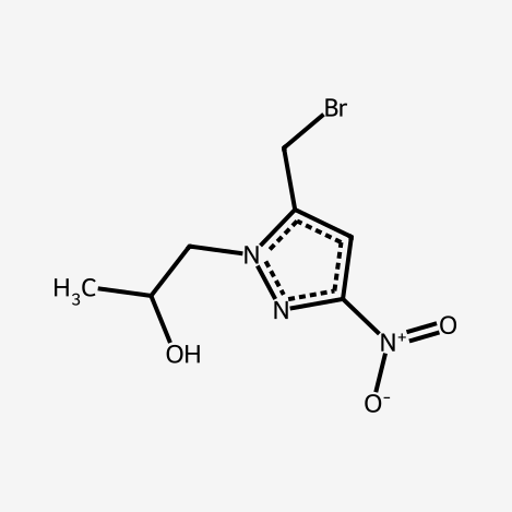 CC(O)Cn1nc([N+](=O)[O-])cc1CBr